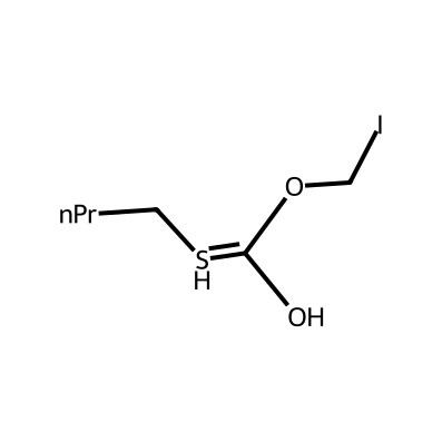 CCCC[SH]=C(O)OCI